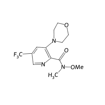 CON(C)C(=O)c1ncc(C(F)(F)F)cc1N1CCOCC1